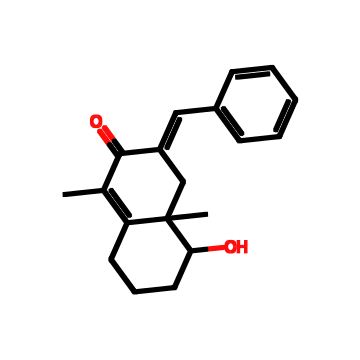 CC1=C2CCCC(O)C2(C)CC(=Cc2ccccc2)C1=O